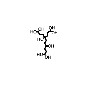 OC(O)CCC(O)CCC(O)(CCC(O)O)CCC(O)O